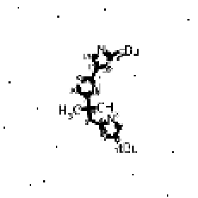 CC(C)(C)c1cnc(CC(C)(C)c2csc(-c3cnc(C(C)(C)C)s3)n2)s1